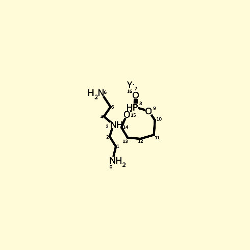 NCCNCCN.O=[PH]1OCCCCCO1.[Y]